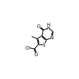 Cc1c(C(=O)Cl)sc2nc[nH]c(=O)c12